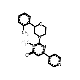 Cn1c(N2CCOC(c3ccccc3C(F)(F)F)C2)nc(-c2ccncc2)cc1=O